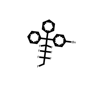 CC(C)(C)c1ccc(C(c2ccccc2)(c2ccccc2)C(F)(F)C(F)(F)C(F)(F)CF)cc1